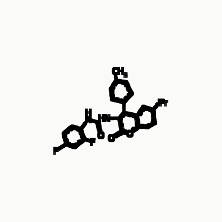 Cc1ccc(-c2c(NC(=O)Nc3ccc(F)cc3F)c(=O)oc3ccc(C(C)C)cc23)cc1